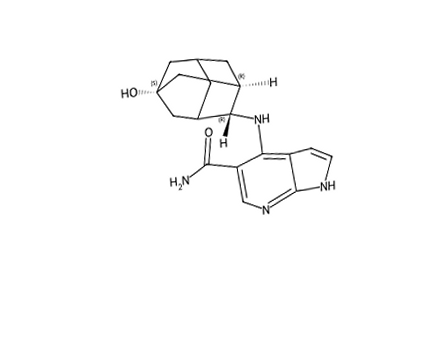 NC(=O)c1cnc2[nH]ccc2c1N[C@@H]1C2CC3C[C@@H]1C[C@](O)(C3)C2